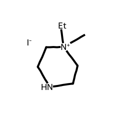 CC[N+]1(C)CCNCC1.[I-]